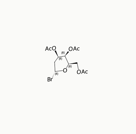 CC(=O)OC[C@H]1O[C@H](Br)C[C@@H](OC(C)=O)[C@H]1OC(C)=O